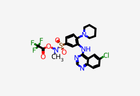 CN(OC(=O)C(F)(F)F)S(=O)(=O)c1ccc(N2CCCCC2)c(Nc2ncnc3ccc(Cl)cc23)c1